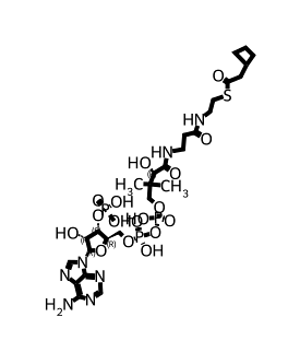 CC(C)(COP(=O)(O)OP(=O)(O)OC[C@H]1O[C@@H](n2cnc3c(N)ncnc32)[C@H](O)[C@@H]1OP(=O)(O)O)[C@@H](O)C(=O)NCCC(=O)NCCSC(=O)CC1CCC1